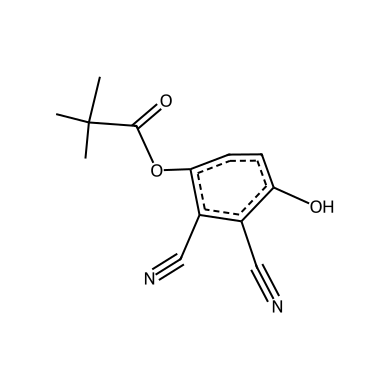 CC(C)(C)C(=O)Oc1ccc(O)c(C#N)c1C#N